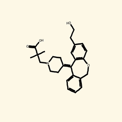 CC(C)(CN1CCC(=C2c3ccccc3COc3ccc(CCO)cc32)CC1)C(=O)O